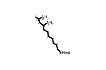 CCCCCCCCCCCCCCC(N)CC(C)N